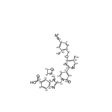 N#Cc1ccc(COc2nc(-c3ccn(Cc4nc5ccc(C(=O)O)cc5n4C[C@@H]4CCO4)c(=O)c3)ncc2F)c(F)c1